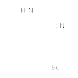 CCC(C)C1CCC1C(N)C#N